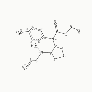 C=CCN(C)C1CCCC1N(C(=O)CCCl)c1ccc(C)cc1